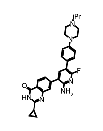 CC(C)N1CCN(c2ccc(-c3cc(-c4ccc5c(=O)[nH]c(C6CC6)nc5c4)c(N)nc3F)cc2)CC1